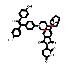 CCC(=C(c1ccc(O)cc1)c1ccc(N2CCC(CN3C4CCC3CN(c3ccc5c(c3)C(=O)N(C3CCC(=O)NC3=O)C5=O)C4)CC2)cc1)c1ccc(O)cc1